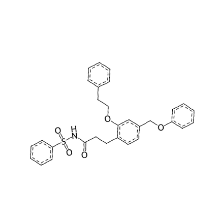 O=C(CCc1ccc(COc2ccccc2)cc1OCCc1ccccc1)NS(=O)(=O)c1ccccc1